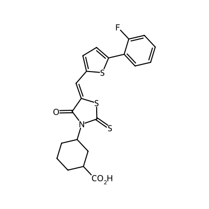 O=C(O)C1CCCC(N2C(=O)C(=Cc3ccc(-c4ccccc4F)s3)SC2=S)C1